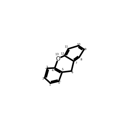 [c]1cc[c]c2c1Cc1ccccc1O2